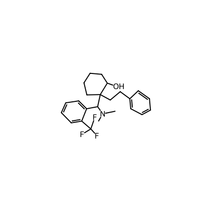 CN(C)C(c1ccccc1C(F)(F)F)C1(CCc2ccccc2)CCCCC1O